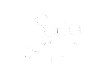 Cc1cc(Cl)cc(C(=O)NCC2CCOCC2)c1NC(=O)c1cc(Oc2ccsc2)nn1-c1ncccc1Cl